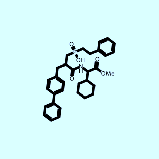 COC(=O)C(NC(=O)C(Cc1ccc(-c2ccccc2)cc1)CP(=O)(O)CCc1ccccc1)C1CCCCC1